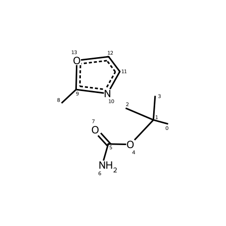 CC(C)(C)OC(N)=O.Cc1ncco1